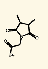 CC(C)C(=O)CN1C(=O)C(C)C(C)C1=O